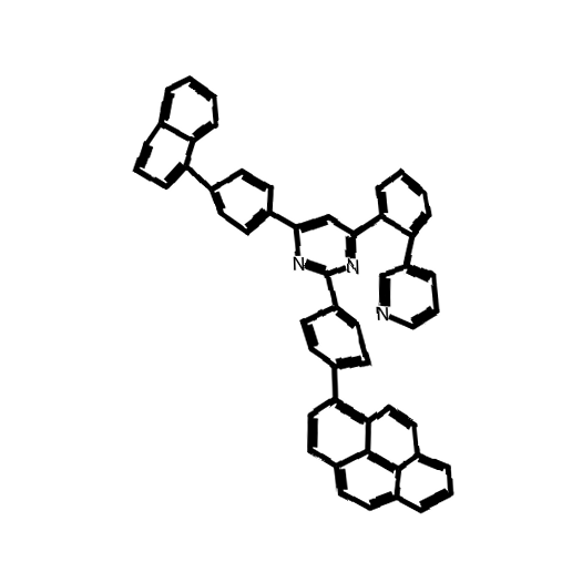 c1cncc(-c2ccccc2-c2cc(-c3ccc(-c4cccc5ccccc45)cc3)nc(-c3ccc(-c4ccc5ccc6cccc7ccc4c5c67)cc3)n2)c1